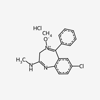 C.CNC1=Nc2ccc(Cl)cc2C(c2ccccc2)=[N+]([O-])C1.Cl